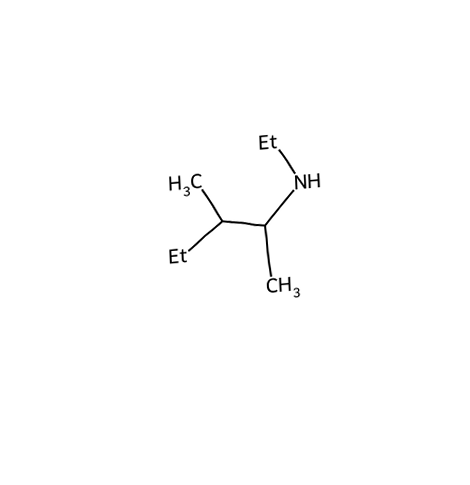 [CH2]CNC(C)C(C)CC